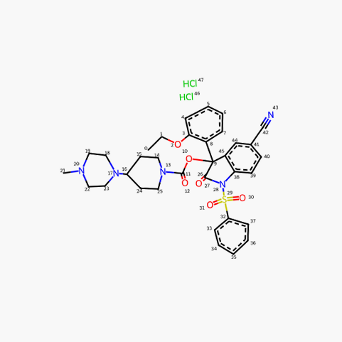 CCOc1ccccc1C1(OC(=O)N2CCC(N3CCN(C)CC3)CC2)C(=O)N(S(=O)(=O)c2ccccc2)c2ccc(C#N)cc21.Cl.Cl